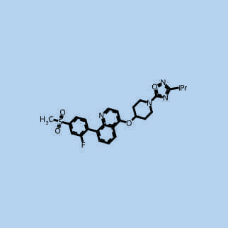 CC(C)c1noc(N2CCC(Oc3ccnc4c(-c5ccc(S(C)(=O)=O)cc5F)cccc34)CC2)n1